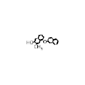 Cc1cc2c(Oc3ccc4ccccc4c3)cccc2cc1O